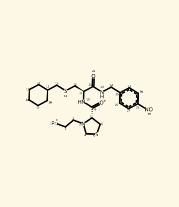 CC(C)CCN1CSC[C@H]1C(=O)N[C@@H](CSCC1CCCCC1)C(=O)NCc1ccc(N=O)cc1